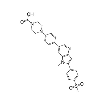 Cn1c(-c2ccc(S(C)(=O)=O)cc2)cc2ncc(-c3ccc(N4CCN(C(=O)O)CC4)cc3)cc21